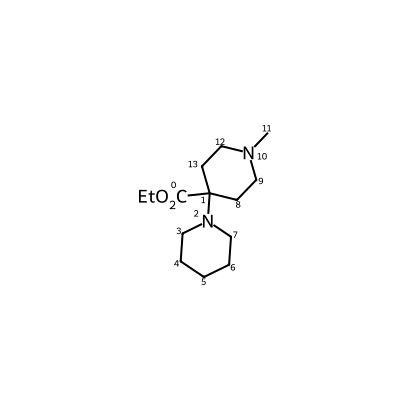 CCOC(=O)C1(N2CCCCC2)CCN(C)CC1